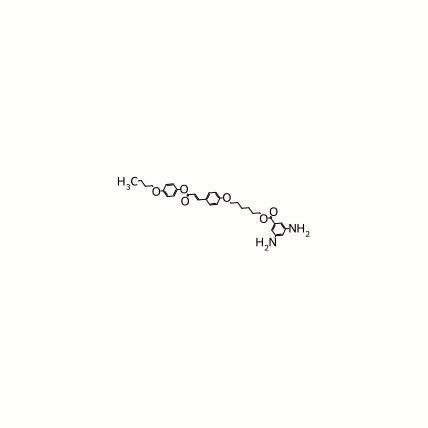 CCCCOc1ccc(OC(=O)C=Cc2ccc(OCCCCCCOC(=O)c3cc(N)cc(N)c3)cc2)cc1